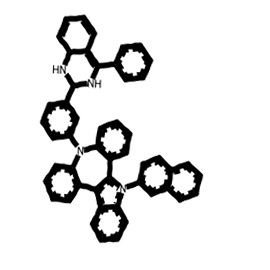 C1=CC2=C(c3ccccc3)NC(c3cccc(N4c5ccccc5-c5c(n(-c6ccc7ccccc7c6)c6ccccc56)-c5ccccc54)c3)NC2C=C1